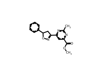 COC(=O)c1cc(C2=NOC(c3ccccc3)C2)nc(C)n1